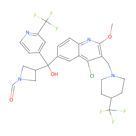 COc1nc2ccc(C(O)(c3ccnc(C(F)(F)F)c3)C3CN(C=O)C3)cc2c(Cl)c1CN1CCC(C(F)(F)F)CC1